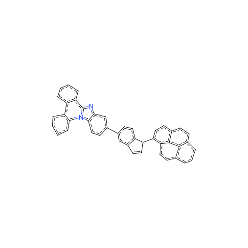 C1=CC(c2ccc3ccc4cccc5ccc2c3c45)c2ccc(-c3ccc4c(c3)nc3c5ccccc5c5ccccc5n43)cc21